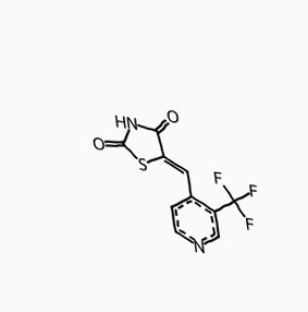 O=C1NC(=O)/C(=C/c2ccncc2C(F)(F)F)S1